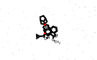 COC(=O)c1ccc2c(c1)CN(C1C3CCC1CC(OCc1c(-c4c(Cl)cccc4Cl)noc1C1CC1)C3)C2